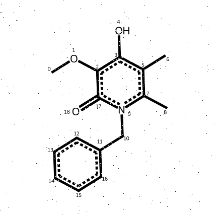 COc1c(O)c(C)c(C)n(Cc2ccccc2)c1=O